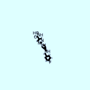 O=C(NO)c1cnc(N2CC3C(C2)C3NCc2ccc(F)cc2)nc1